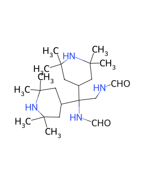 CC1(C)CC(C(CNC=O)(NC=O)C2CC(C)(C)NC(C)(C)C2)CC(C)(C)N1